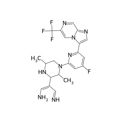 CC1CN(c2cc(F)cc(-c3cnc4cnc(C(F)(F)F)cn34)n2)C(C)C(/C(C=N)=C/N)N1